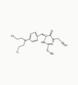 C#CCNC(=O)[C@H](Cc1ccc(N(CCCl)CCCl)cc1)NC(=O)OC(C)(C)C